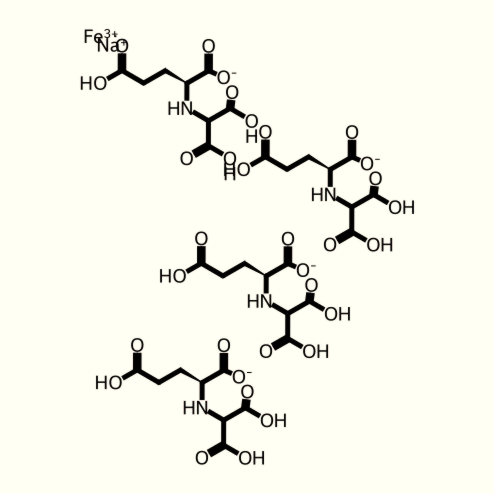 O=C(O)CC[C@H](NC(C(=O)O)C(=O)O)C(=O)[O-].O=C(O)CC[C@H](NC(C(=O)O)C(=O)O)C(=O)[O-].O=C(O)CC[C@H](NC(C(=O)O)C(=O)O)C(=O)[O-].O=C(O)CC[C@H](NC(C(=O)O)C(=O)O)C(=O)[O-].[Fe+3].[Na+]